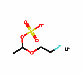 CC(OCCF)OS(=O)(=O)[O-].[Li+]